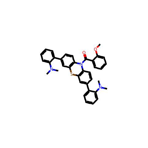 COc1ccccc1C(=O)N1c2ccc(-c3ccccc3N(C)C)cc2Sc2cc(-c3ccccc3N(C)C)ccc21